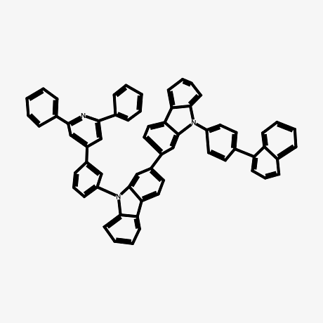 c1ccc(-c2cc(-c3cccc(-n4c5ccccc5c5ccc(-c6ccc7c8ccccc8n(-c8ccc(-c9cccc%10ccccc9%10)cc8)c7c6)cc54)c3)cc(-c3ccccc3)n2)cc1